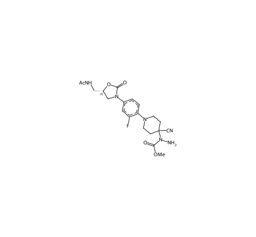 COC(=O)N(N)C1(C#N)CCN(c2ccc(N3C[C@H](CNC(C)=O)OC3=O)cc2F)CC1